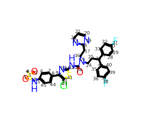 CS(=O)(=O)Nc1ccc(-c2nc(NC(=O)N(CCc3ncccn3)CCC(c3ccc(F)cc3)c3ccc(F)cc3)sc2Cl)cc1